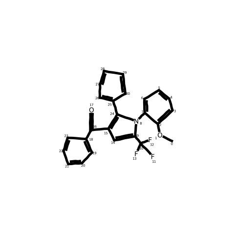 COc1ccccc1-n1c(C(F)(F)F)cc(C(=O)c2ccccc2)c1-c1ccccc1